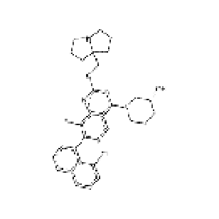 O[C@@H]1CCCN(c2nc(OCC34CCCN3CCC4)nc3c(F)c(-c4cccc5cccc(Cl)c45)ncc23)C1